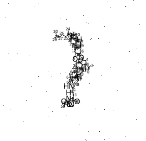 C=C(C)[C@@H]1CC[C@]2(C(=O)O[C@@H]3CC[C@@]4(C)C(=CC[C@H]5[C@@H]6CC[C@H]([C@H](C)CCCC(C)C)[C@@]6(C)CC[C@@H]54)C3)CC[C@]3(C)[C@H](CC[C@@H]4[C@@]5(C)CCC(NCCCC(NC(=O)OC)C(=O)O)C(C)(C)C5CC[C@]43C)C12